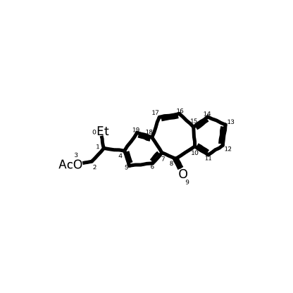 CCC(COC(C)=O)c1ccc2c(=O)c3ccccc3ccc2c1